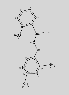 CC(=O)Oc1ccccc1C(=O)OCc1cnc(N)nc1N